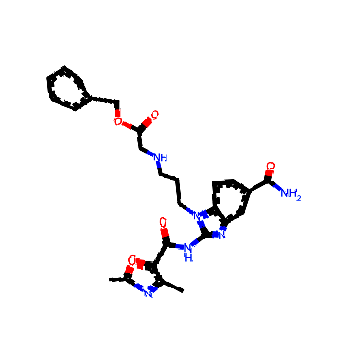 Cc1nc(C)c(C(=O)Nc2nc3cc(C(N)=O)ccc3n2CCCNCC(=O)OCc2ccccc2)o1